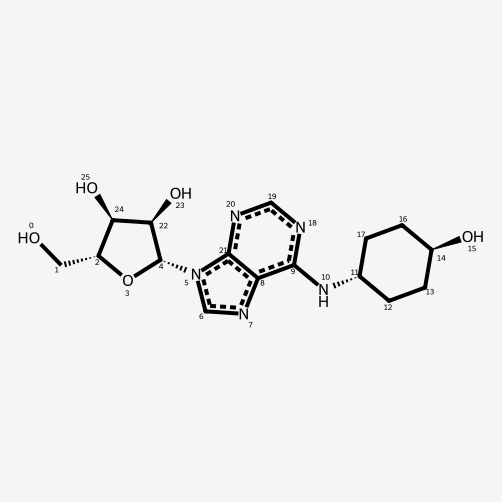 OC[C@H]1O[C@@H](n2cnc3c(N[C@H]4CC[C@H](O)CC4)ncnc32)[C@H](O)[C@@H]1O